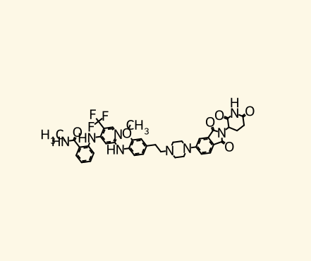 CNC(=O)c1ccccc1Nc1cc(Nc2ccc(CCN3CCN(c4ccc5c(c4)C(=O)N(C4CCC(=O)NC4=O)C5=O)CC3)cc2OC)ncc1C(F)(F)F